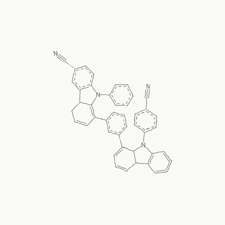 N#Cc1ccc(N2C3=C(C=C=C=C3)C3C=CC=C(c4cccc(C5=C6C(CC=C5)c5cc(C#N)ccc5N6c5ccccc5)c4)C32)cc1